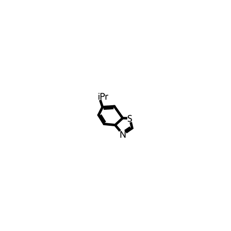 CC(C)C1=CC2SC=NC2C=C1